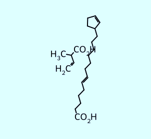 C=CC(C)C(=O)O.O=C(O)CCCCC=CCCCCCCC1C=CCC1